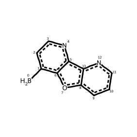 Bc1ccnc2c1oc1cccnc12